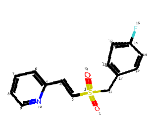 O=S(=O)(C=Cc1ccccn1)Cc1ccc(F)cc1